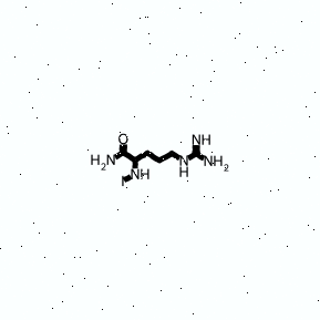 N=C(N)NCCCC(NI)C(N)=O